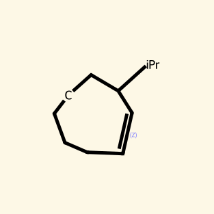 [CH2]C(C)C1/C=C\CCCCC1